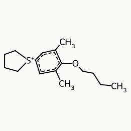 CCCCOc1c(C)cc([S+]2CCCC2)cc1C